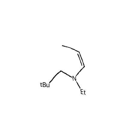 C/C=C\N(CC)CC(C)(C)C